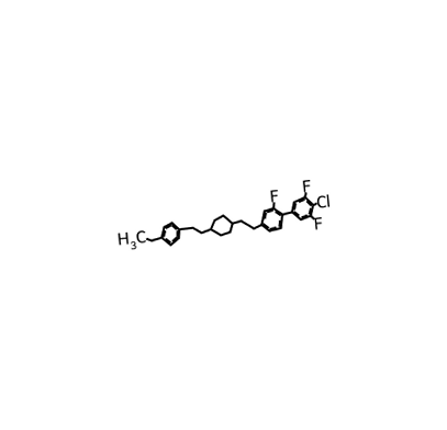 CCc1ccc(CCC2CCC(CCc3ccc(-c4cc(F)c(Cl)c(F)c4)c(F)c3)CC2)cc1